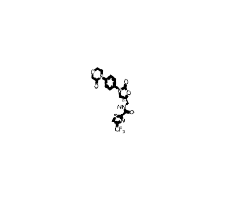 O=C(NC[C@H]1CN(c2ccc(N3CCOCC3=O)cc2)C(=O)O1)c1nc(C(F)(F)F)cs1